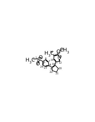 CCS(=O)(=O)c1ccc(C2=C(c3cnc(OC)c(C)c3)CCC2)cc1